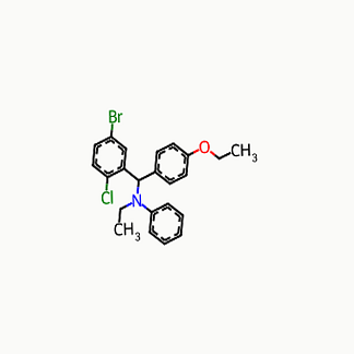 CCOc1ccc(C(c2cc(Br)ccc2Cl)N(CC)c2ccccc2)cc1